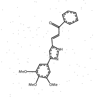 COc1cc(-c2cc(C=CC(=O)c3ccccc3)[nH]n2)cc(OC)c1OC